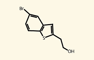 OCCc1cc2cc(Br)ccc2s1